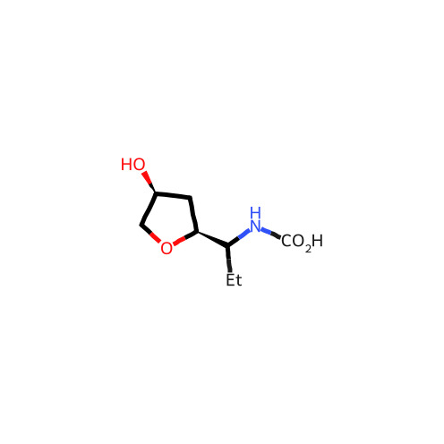 CCC(NC(=O)O)[C@@H]1C[C@H](O)CO1